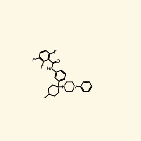 CC1CCC(c2cccc(NC(=O)c3c(F)ccc(F)c3F)c2)(N2CCN(c3ccccc3)CC2)CC1